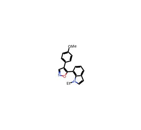 CCn1ccc2cccc(-c3oncc3-c3ccc(OC)cc3)c21